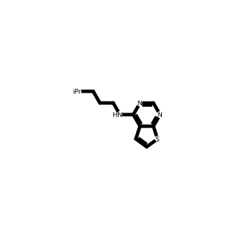 CC(C)CCCNc1ncnc2sccc12